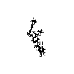 CC(C)(C)OC(=O)N1C[C@@H](NC(=O)c2cc(Cl)c(Cl)cn2)CC[C@@H]1c1nnc(OCCOC(F)(F)F)o1